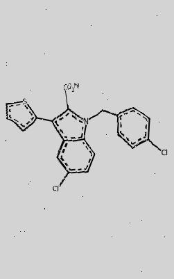 O=C(O)c1c(-c2cccs2)c2cc(Cl)ccc2n1Cc1ccc(Cl)cc1